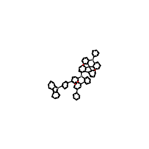 c1ccc(-c2cccc(-c3ccccc3N(c3ccc(-c4ccc(-n5c6ccccc6c6ccccc65)cc4)cc3)c3cccc4c3-c3ccccc3C43c4ccccc4N(c4ccccc4)c4ccccc43)c2)cc1